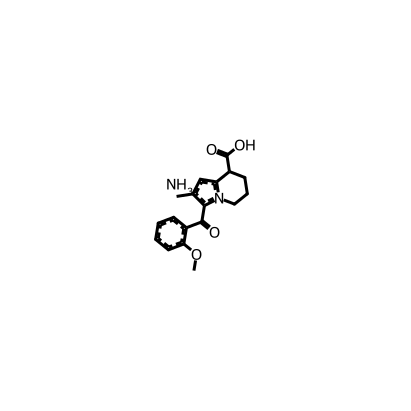 COc1ccccc1C(=O)c1c(C)cc2n1CCCC2C(=O)O.N